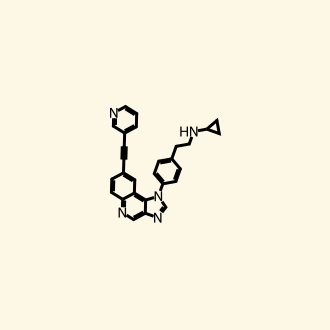 C(#Cc1ccc2ncc3ncn(-c4ccc(CCNC5CC5)cc4)c3c2c1)c1cccnc1